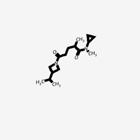 CC(CCC(=O)N1CC(C(C)C)C1)C(=O)N(C)C1CC1